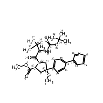 COC(=O)[C@@H]1C[C@@](SC)(c2ccc(-c3ccccc3)cc2)CN1C(=O)C(NC(=O)OC(C)(C)C)C(C)(C)C